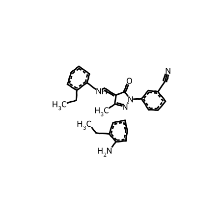 CCc1ccccc1N.CCc1ccccc1NC=C1C(=O)N(c2cccc(C#N)c2)N=C1C